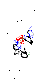 Cc1c(F)cccc1-c1nc(NS(=O)(=O)c2cccc(N3CCNCC3)n2)ccc1C(F)(F)F